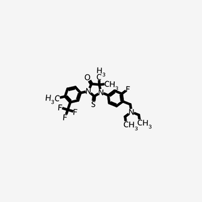 CCN(CC)Cc1ccc(N2C(=S)N(c3ccc(C)c(C(F)(F)F)c3)C(=O)C2(C)C)cc1F